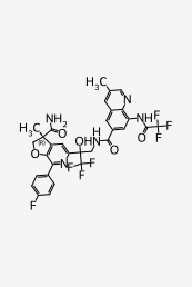 Cc1cnc2c(NC(=O)C(F)(F)F)cc(C(=O)NCC(O)(c3cc4c(c(-c5ccc(F)cc5)n3)OC[C@]4(C)C(N)=O)C(F)(F)F)cc2c1